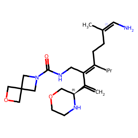 C=C(C(CNC(=O)N1CC2(COC2)C1)=C(CC/C(C)=C\N)C(C)C)[C@@H]1COCCN1